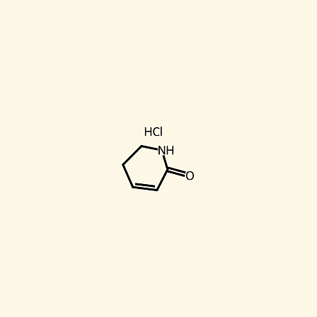 Cl.O=C1C=CCCN1